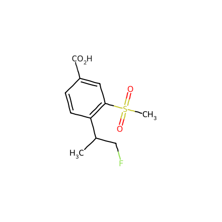 CC(CF)c1ccc(C(=O)O)cc1S(C)(=O)=O